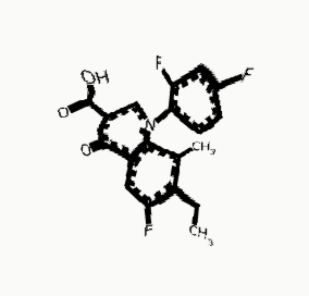 CCc1c(F)cc2c(=O)c(C(=O)O)cn(-c3ccc(F)cc3F)c2c1C